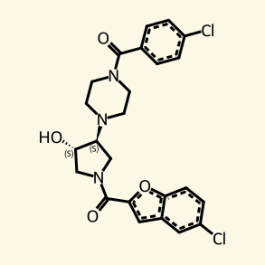 O=C(c1ccc(Cl)cc1)N1CCN([C@H]2CN(C(=O)c3cc4cc(Cl)ccc4o3)C[C@@H]2O)CC1